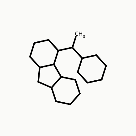 CC(C1CCCCC1)C1CCCC2CC3CCCCC3C21